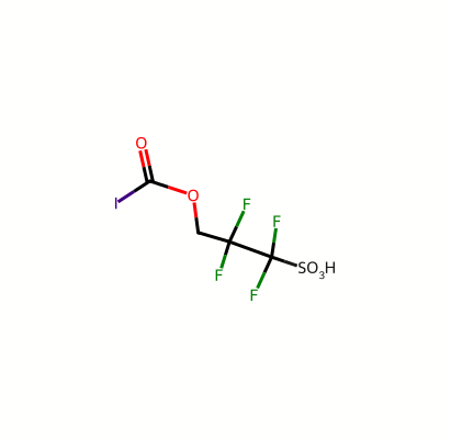 O=C(I)OCC(F)(F)C(F)(F)S(=O)(=O)O